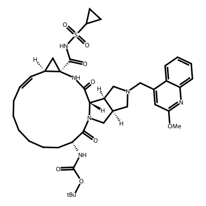 COc1cc(CN2C[C@H]3CN4C(=O)[C@H](NC(=O)OC(C)(C)C)CCCCCC/C=C\[C@H]5C[C@@]5(C(=O)NS(=O)(=O)C5CC5)NC(=O)[C@@H]4[C@H]3C2)c2ccccc2n1